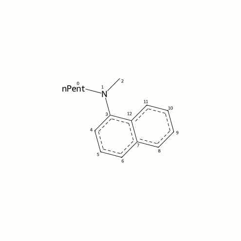 CCCCCN(C)c1cccc2ccccc12